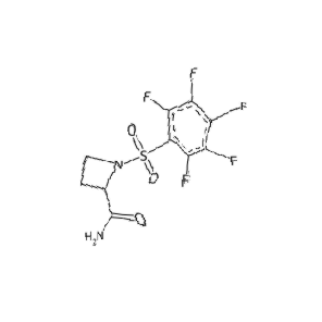 NC(=O)C1CCN1S(=O)(=O)c1c(F)c(F)c(F)c(F)c1F